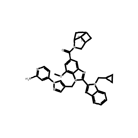 COc1cc(C(=O)N2CC3CC4CC2[C@H]43)cc2nc(-c3cc4ccccc4n3CC3CC3)n(Cc3cnn(-c4ccnc(N)c4)c3)c12